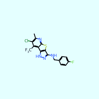 Cc1nc2sc3c(NCc4ccc(F)cc4)n[nH]c3c2c(C(F)(F)F)c1Cl